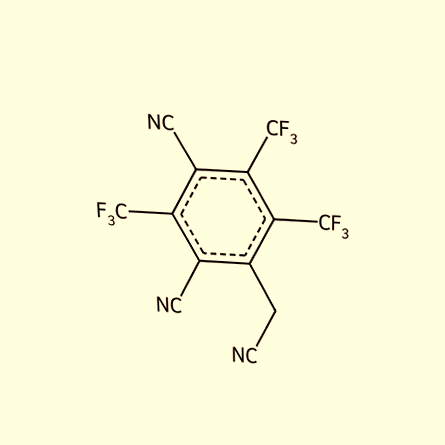 N#CCc1c(C#N)c(C(F)(F)F)c(C#N)c(C(F)(F)F)c1C(F)(F)F